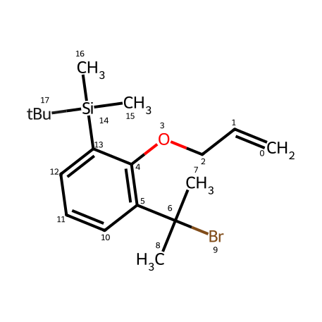 C=CCOc1c(C(C)(C)Br)cccc1[Si](C)(C)C(C)(C)C